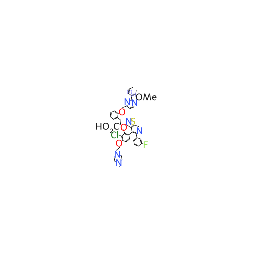 C/C=C\C(=C(/C)OC)c1nccc(COc2ccccc2CC(Oc2nsc3cnc(-c4cccc(F)c4)c(-c4ccc(OCCN5CCN(C)CC5)c(Cl)c4C)c23)C(=O)O)n1